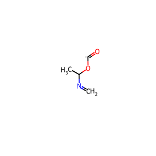 C=NC(C)O[C]=O